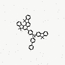 CC1(C)c2ccccc2-c2ccc(N(c3ccc(-c4ccccc4)cc3)c3ccc(-c4cc5c(c6c7c(ccc46)-c4ccccc4C7(C)C)-c4ccccc4C5(C)C)cc3)cc21